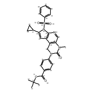 CN1C(=O)N(c2ccc(C(=O)OC(C)(C)C)cc2)Cc2c1cnc1c2cc(C2CC2)n1S(=O)(=O)c1ccccc1